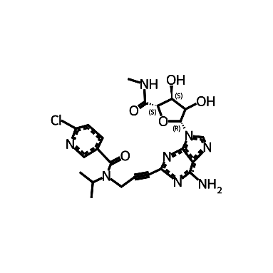 CNC(=O)[C@H]1O[C@@H](n2cnc3c(N)nc(C#CCN(C(=O)c4ccc(Cl)nc4)C(C)C)nc32)C(O)[C@@H]1O